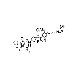 COc1cc2c(Oc3ccc(NC(=O)c4c(C)n(C)n(-c5ccccc5)c4=O)cc3F)ccnc2cc1OCCCN1CC(O)C2(CC2)C1